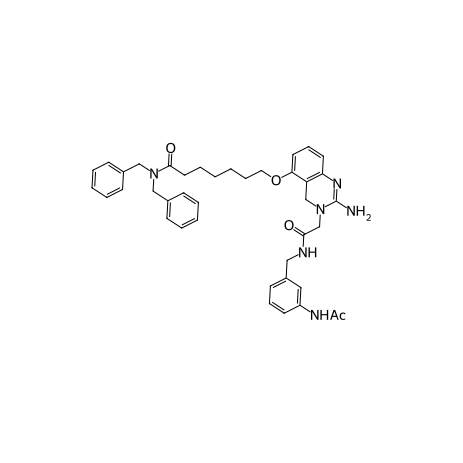 CC(=O)Nc1cccc(CNC(=O)CN2Cc3c(cccc3OCCCCCCC(=O)N(Cc3ccccc3)Cc3ccccc3)N=C2N)c1